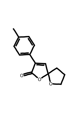 Cc1ccc(C2=CC3(CCCO3)OC2=O)cc1